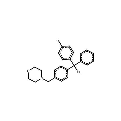 OC(c1ccccc1)(c1ccc(Cl)cc1)c1ccc(CN2CCOCC2)cc1